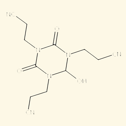 N#CCCN1C(=O)N(CCC#N)C(O)N(CCC#N)C1=O